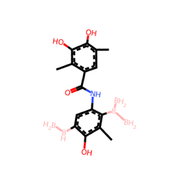 BBc1cc(NC(=O)c2cc(C)c(O)c(O)c2C)c(B(B)B)c(C)c1O